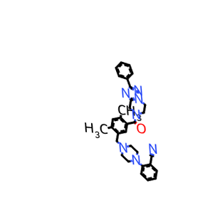 Cc1cc(C)c(C(=O)N2CCn3nc(-c4ccccc4)nc3C2)cc1CN1CCN(c2ccccc2C#N)CC1